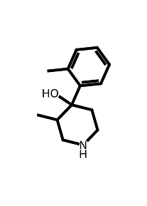 Cc1ccccc1C1(O)CCNCC1C